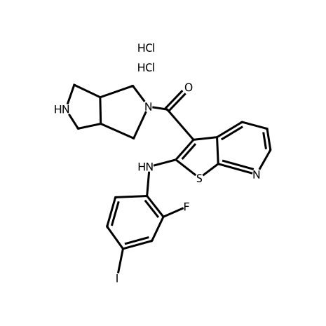 Cl.Cl.O=C(c1c(Nc2ccc(I)cc2F)sc2ncccc12)N1CC2CNCC2C1